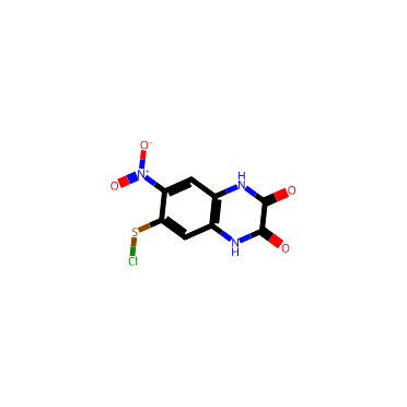 O=c1[nH]c2cc(SCl)c([N+](=O)[O-])cc2[nH]c1=O